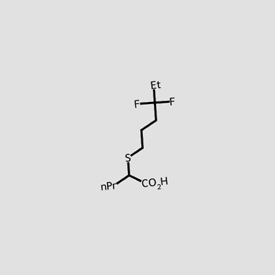 CCCC(SCCCC(F)(F)CC)C(=O)O